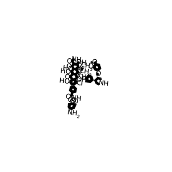 CN(C)[C@@H]1C(O)=C(C(N)=O)C(=O)[C@@]2(O)C(O)=C3C(=O)c4c(O)ccc(Cl)c4[C@@](C)(O)[C@H]3C[C@@H]12.Fc1ccc([C@@H]2CCNC[C@H]2COc2ccc3c(c2)OCO3)cc1.Nc1ccc(S(=O)(=O)NC(=O)c2ccccc2)cc1